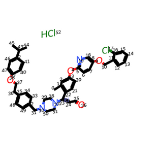 Cc1cc(Oc2ccc(OCc3ccccc3Cl)cn2)ccc1/C(=C\C=O)N1CCN(Cc2ccc(CCOc3ccc(C(C)C)cc3)cc2)CC1.Cl